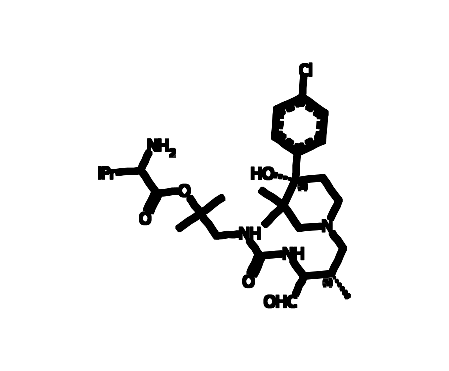 CC(C)C(N)C(=O)OC(C)(C)CNC(=O)NC(C=O)[C@@H](C)CN1CC[C@](O)(c2ccc(Cl)cc2)C(C)(C)C1